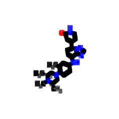 Cc1cc(Nc2ccc(-c3cc[nH]c(=O)c3)n3ncnc23)ccc1N1C[C@@H](C)N(C)[C@@H](C)C1